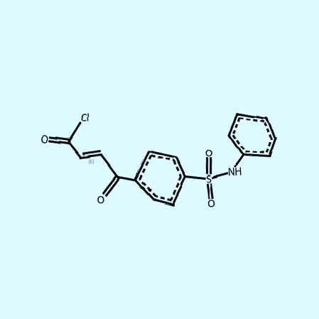 O=C(Cl)/C=C/C(=O)c1ccc(S(=O)(=O)Nc2ccccc2)cc1